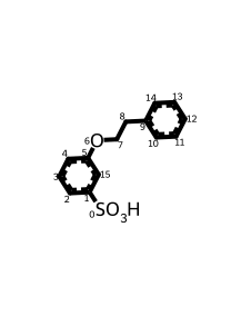 O=S(=O)(O)c1cccc(OCCc2ccccc2)c1